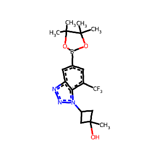 CC1(O)CC(n2nnc3cc(B4OC(C)(C)C(C)(C)O4)cc(C(F)(F)F)c32)C1